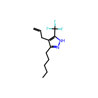 C=CCc1c(CCCCC)n[nH]c1C(F)(F)F